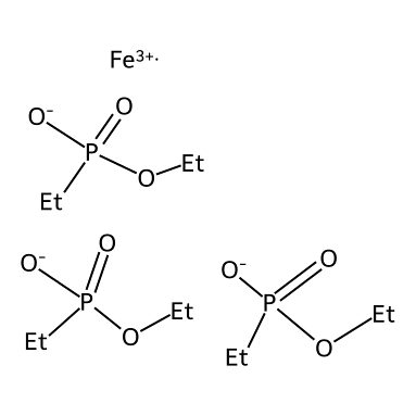 CCOP(=O)([O-])CC.CCOP(=O)([O-])CC.CCOP(=O)([O-])CC.[Fe+3]